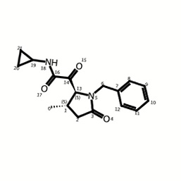 C[C@H]1CC(=O)N(Cc2ccccc2)[C@@H]1C(=O)C(=O)NC1CC1